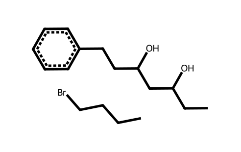 CCC(O)CC(O)CCc1ccccc1.CCCCBr